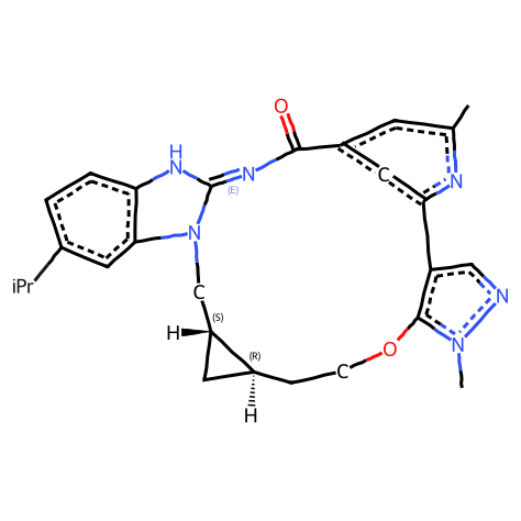 Cc1cc2cc(n1)-c1cnn(C)c1OCC[C@H]1C[C@@H]1CN1/C(=N/C2=O)Nc2ccc(C(C)C)cc21